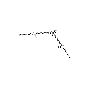 CCCCCCCCCOC(=O)CCCCCCCOCC(OCCCCCCCC(=O)OCCCCCCCCC)C(C)(C)C